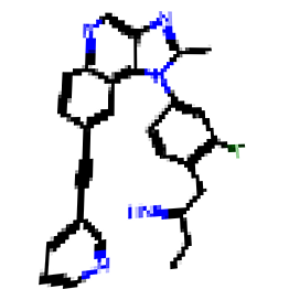 CCC(=N)Cc1ccc(-n2c(C)nc3cnc4ccc(C#Cc5cccnc5)cc4c32)cc1F